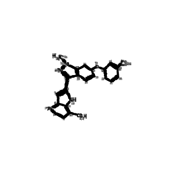 Cn1nc(-c2cc3nccc(C(=O)O)c3[nH]2)c2ccc(Oc3cccc(Cl)c3)cc21